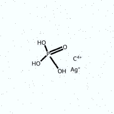 O=P(O)(O)O.[Ag+].[C+4]